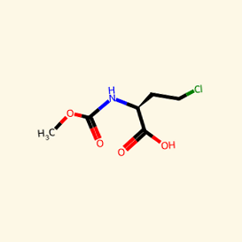 COC(=O)N[C@@H](CCCl)C(=O)O